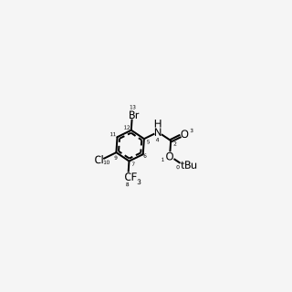 CC(C)(C)OC(=O)Nc1cc(C(F)(F)F)c(Cl)cc1Br